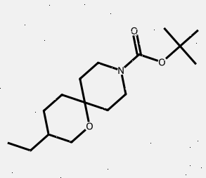 CCC1CCC2(CCN(C(=O)OC(C)(C)C)CC2)OC1